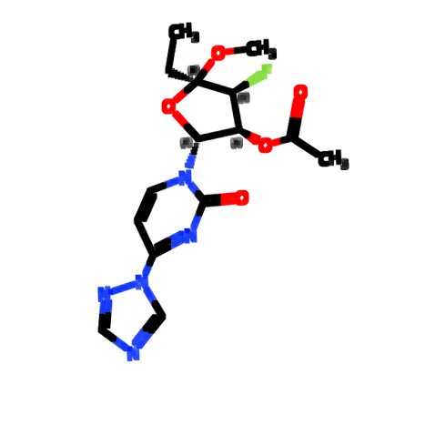 CC[C@@]1(OC)O[C@@H](n2ccc(-n3cncn3)nc2=O)[C@H](OC(C)=O)[C@@H]1F